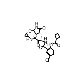 C[C@@H]1C[C@@H](C[C@H](NC(=O)c2cc(Cl)ccc2NC(=O)C2CCC2)C(=O)C(=O)NC2CC2)C(=O)N1